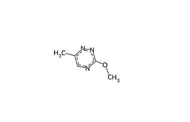 COc1ncc(C)nn1